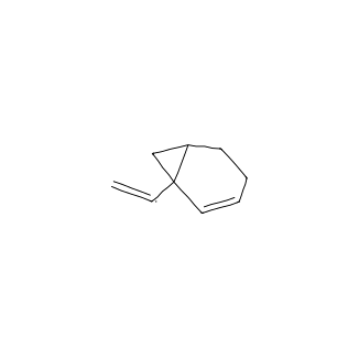 C=[C]C12C=CCCC1C2